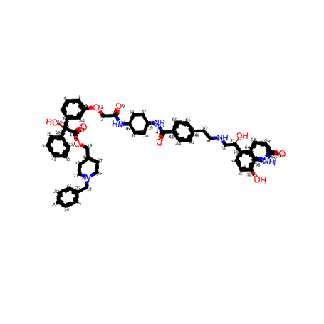 O=C(COc1cccc([C@](O)(C(=O)OCC2CCN(Cc3ccccc3)CC2)c2ccccc2)c1)NC1CCC(NC(=O)c2ccc(CCNC[C@H](O)c3ccc(O)c4[nH]c(=O)ccc34)cc2)CC1